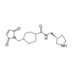 O=C(NC[C@H]1CCNC1)C1CCC(CN2C(=O)C=CC2=O)CC1